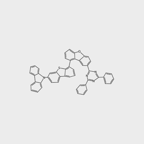 c1ccc(-c2nc(-c3ccccc3)nc(-c3ccc4oc5cccc(-c6cccc7c6sc6cc(-n8c9ccccc9c9ccccc98)ccc67)c5c4c3)n2)cc1